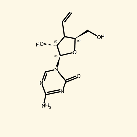 C=CC1[C@@H](O)[C@H](n2cnc(N)nc2=O)O[C@@H]1CO